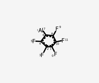 Fc1c(F)c(F)[c]([Al])c(F)c1F